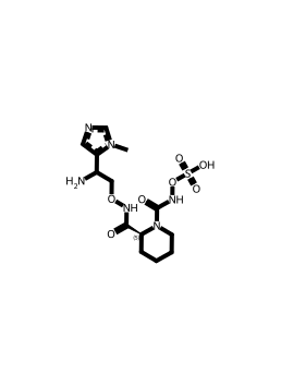 Cn1cncc1C(N)CONC(=O)[C@@H]1CCCCN1C(=O)NOS(=O)(=O)O